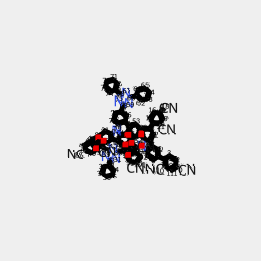 N#Cc1ccc(-c2ccc3c(c2)c2cc(-c4ccc(C#N)cc4C#N)ccc2n3-c2ccc(-c3nc(-c4ccccc4)nc(-c4ccccc4)n3)cc2-c2cccc(-c3cc(-c4nc(-c5ccccc5)nc(-c5ccccc5)n4)ccc3-n3c4ccc(-c5ccc(C#N)cc5C#N)cc4c4cc(-c5ccc(C#N)cc5C#N)ccc43)c2)c(C#N)c1